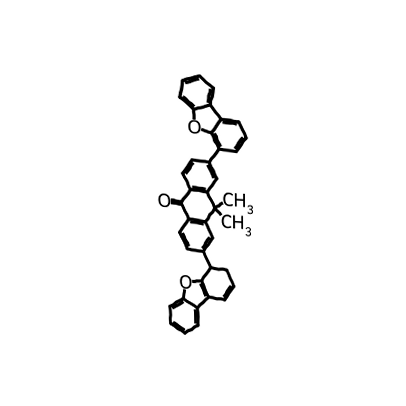 CC1(C)c2cc(-c3cccc4c3oc3ccccc34)ccc2C(=O)c2ccc(C3CC=Cc4c3oc3ccccc43)cc21